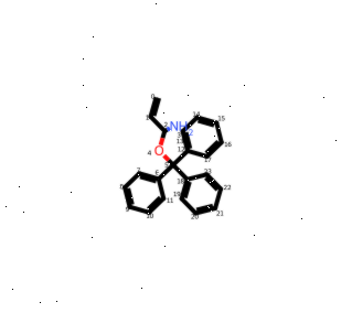 C=CC(N)OC(c1ccccc1)(c1ccccc1)c1ccccc1